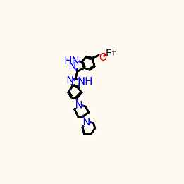 CCOCc1ccc2c(-c3nc4ccc(N5CCC(N6CCCCC6)CC5)cc4[nH]3)n[nH]c2c1